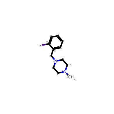 CN1CCN(Cc2ccccc2I)CC1